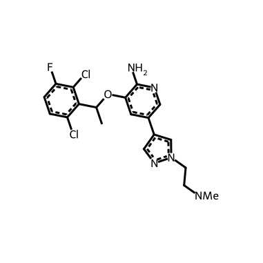 CNCCn1cc(-c2cnc(N)c(OC(C)c3c(Cl)ccc(F)c3Cl)c2)cn1